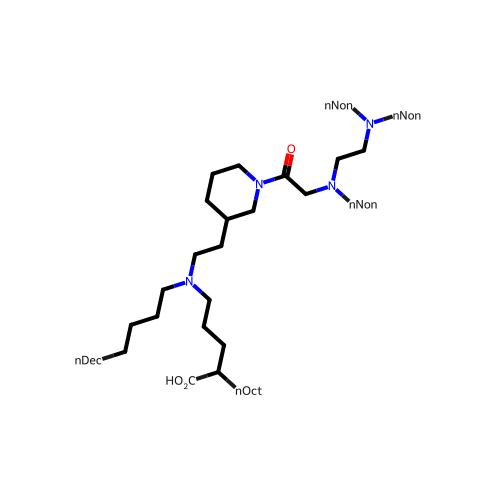 CCCCCCCCCCCCCCN(CCCC(CCCCCCCC)C(=O)O)CCC1CCCN(C(=O)CN(CCCCCCCCC)CCN(CCCCCCCCC)CCCCCCCCC)C1